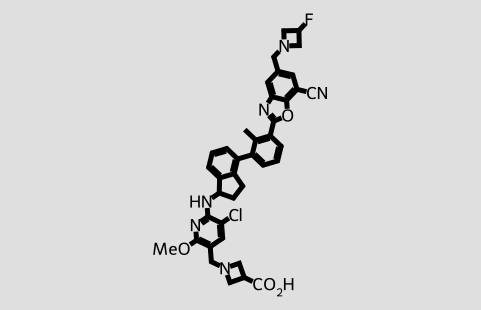 COc1nc(NC2CCc3c(-c4cccc(-c5nc6cc(CN7CC(F)C7)cc(C#N)c6o5)c4C)cccc32)c(Cl)cc1CN1CC(C(=O)O)C1